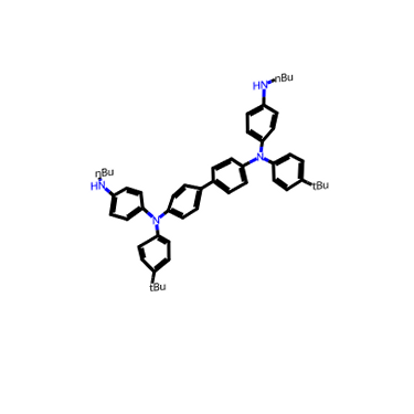 CCCCNc1ccc(N(c2ccc(-c3ccc(N(c4ccc(NCCCC)cc4)c4ccc(C(C)(C)C)cc4)cc3)cc2)c2ccc(C(C)(C)C)cc2)cc1